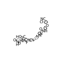 N#Cc1ccc(Oc2ccc(NC(=O)c3ccc(N4CCC(CN5CCN(c6cc(C(=O)O)c(C(=O)NC7CCC(=O)NC7=O)cc6F)CC5)CC4)nn3)cc2)cc1Cl